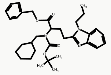 CCCn1c(CCC(C(=O)OCc2ccccc2)N(CC2CCCCC2)C(=O)OC(C)(C)C)nc2ccccc21